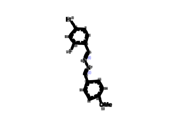 CCc1ccc(/C=N/N=C/c2ccc(OC)cc2)c(F)c1